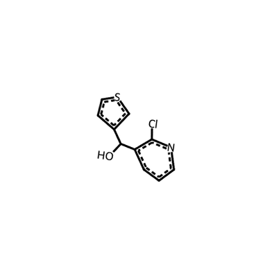 OC(c1ccsc1)c1cccnc1Cl